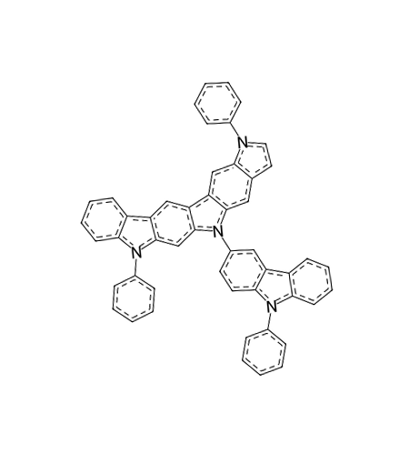 c1ccc(-n2ccc3cc4c(cc32)c2cc3c5ccccc5n(-c5ccccc5)c3cc2n4-c2ccc3c(c2)c2ccccc2n3-c2ccccc2)cc1